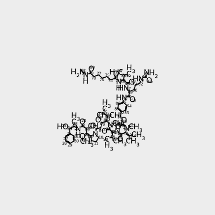 CC[C@H](C)[C@@H]([C@@H](CC(=O)N1CCC[C@H]1[C@H](OC)[C@@H](C)C(=O)N[C@H](C)[C@@H](O)c1ccccc1)OC)N(C)C(=O)[C@@H](NC(=O)C(C(C)C)N(C)C(=O)OCc1ccc(NC(=O)[C@H](CCCNC(N)=O)NC(=O)[C@@H](NC(=O)CCCCCC(=O)NN)C(C)C)cc1)C(C)C